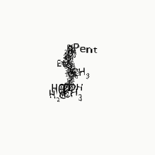 C=C(C)C(O)OCC(CO)CCc1ccc(-c2ccc(C3=CC4C=CC(CCCCC)=CC4C=C3)c(CC)c2)c(C)c1